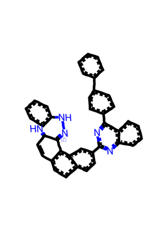 N=C1C=Cc2ccc3ccc(-c4nc(-c5ccc(-c6ccccc6)cc5)c5ccccc5n4)cc3c2/C1=N/Nc1ccccc1